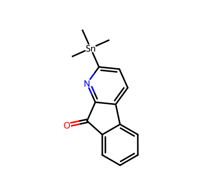 [CH3][Sn]([CH3])([CH3])[c]1ccc2c(n1)C(=O)c1ccccc1-2